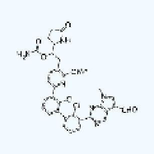 COc1nc(-c2cccc(-c3cccc(-c4ncc5c(C=O)cn(C)c5n4)c3Cl)c2Cl)ccc1CC(OC(N)=O)C1CCC(=O)N1